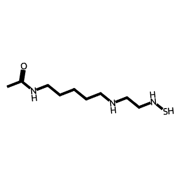 CC(=O)NCCCCCNCCNS